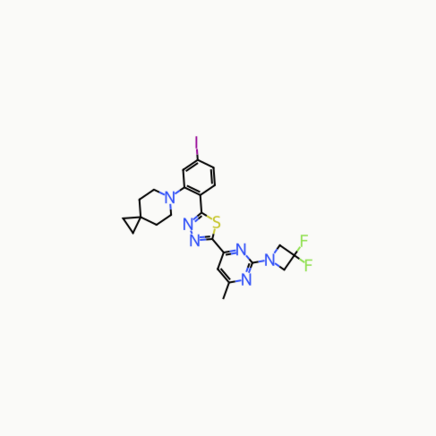 Cc1cc(-c2nnc(-c3ccc(I)cc3N3CCC4(CC3)CC4)s2)nc(N2CC(F)(F)C2)n1